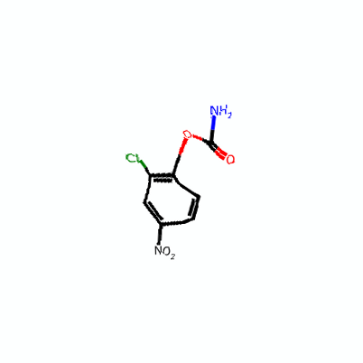 NC(=O)Oc1ccc([N+](=O)[O-])cc1Cl